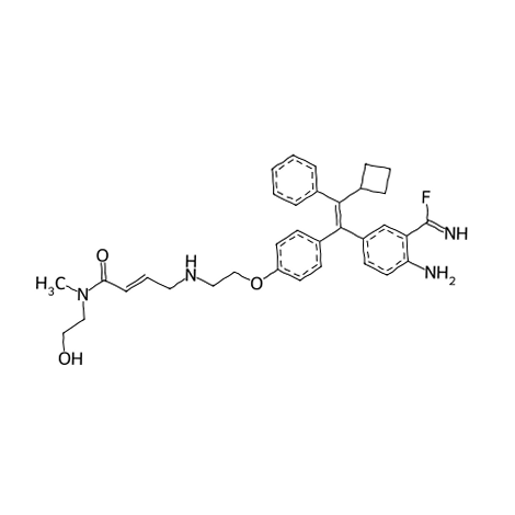 CN(CCO)C(=O)/C=C/CNCCOc1ccc(/C(=C(\c2ccccc2)C2CCC2)c2ccc(N)c(C(=N)F)c2)cc1